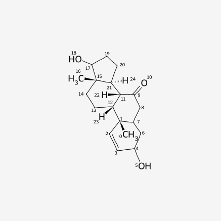 C[C@]12C=CC(O)CC1CC(=O)[C@@H]1[C@H]2CC[C@]2(C)C(O)CC[C@@H]12